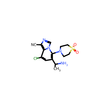 CC(N)c1cc(Cl)c2c(C#N)ncn2c1N1CCS(=O)(=O)CC1